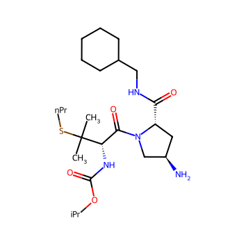 CCCSC(C)(C)[C@@H](NC(=O)OC(C)C)C(=O)N1C[C@H](N)C[C@H]1C(=O)NCC1CCCCC1